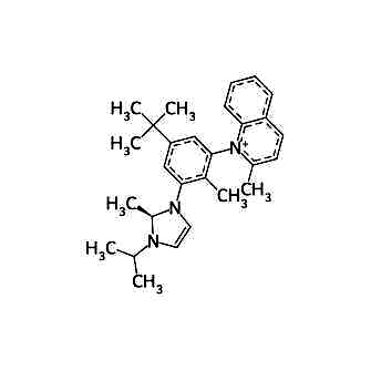 Cc1c(N2C=CN(C(C)C)[C@H]2C)cc(C(C)(C)C)cc1-[n+]1c(C)ccc2ccccc21